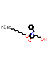 CCCCCCCCCCCCCCCCCCOc1cn(Cc2ccccc2)c(CCCO)cc1=O